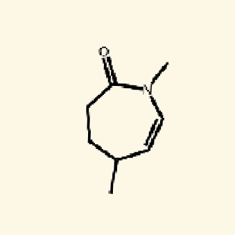 CC1C=CN(C)C(=O)CC1